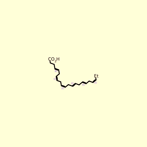 CC/C=C\C/C=C/C/C=C/C/C=C\C/C=C\C/C=C/CCC(=O)O